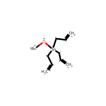 C=C[CH2][Sn]([CH2]C=C)([CH2]C=C)[O]C(C)(C)C